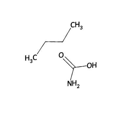 CCCC.NC(=O)O